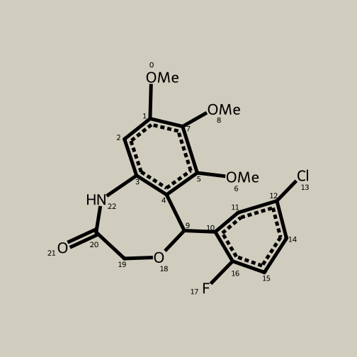 COc1cc2c(c(OC)c1OC)C(c1cc(Cl)ccc1F)OCC(=O)N2